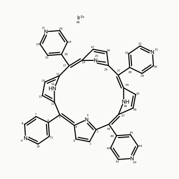 C1=Cc2nc1c(-c1ccncc1)c1ccc([nH]1)c(-c1ccncc1)c1nc(c(-c3ccncc3)c3ccc([nH]3)c2-c2ccncc2)C=C1.[Ir+3]